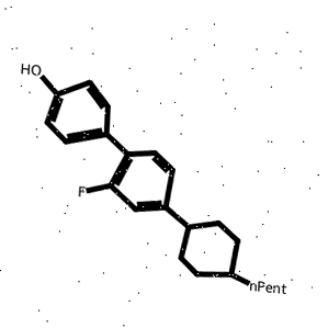 CCCCCC1CCC(c2ccc(-c3ccc(O)cc3)c(F)c2)CC1